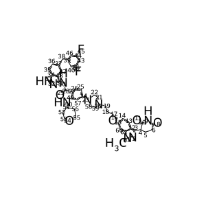 Cn1nc(C2CCC(=O)NC2=O)c2ccc(OCCCN3CCN(c4ccc(C(=O)Nc5n[nH]c6ccc(Cc7cc(F)cc(F)c7)cc56)c(NC5CCOCC5)c4)CC3)cc21